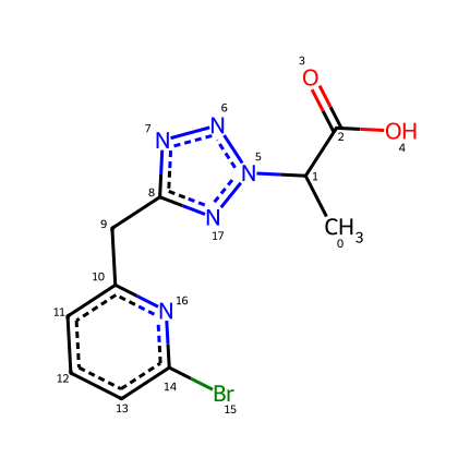 CC(C(=O)O)n1nnc(Cc2cccc(Br)n2)n1